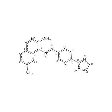 Cc1ccc2cnc(N)c(/N=N/c3ccc(-c4ncco4)cc3)c2c1